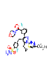 NS(=O)(=O)c1ccc(Cc2c(-c3ccc(F)c(C(=O)N4CCOCC4)c3)nn(-c3nc(C(=O)O)cs3)c2CC2CC2)cc1F